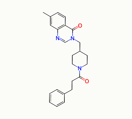 Cc1ccc2c(=O)n(CC3CCN(C(=O)CCc4ccccc4)CC3)cnc2c1